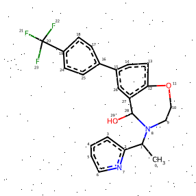 CC(c1ccccn1)N1CCOc2ccc(-c3ccc(C(F)(F)F)cc3)cc2C1O